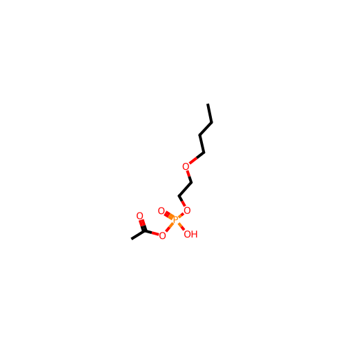 CCCCOCCOP(=O)(O)OC(C)=O